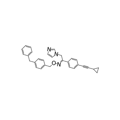 C(#CC1CC1)c1ccc(/C(Cn2ccnc2)=N/OCc2ccc(Cc3ccccc3)cc2)cc1